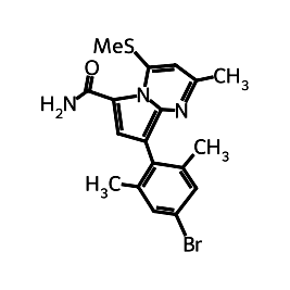 CSc1cc(C)nc2c(-c3c(C)cc(Br)cc3C)cc(C(N)=O)n12